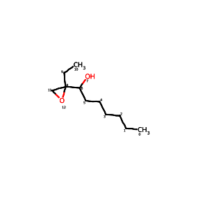 CCCCCCC(O)C1(CC)CO1